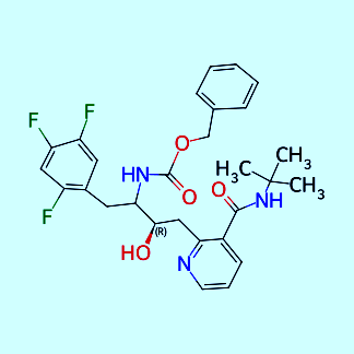 CC(C)(C)NC(=O)c1cccnc1C[C@@H](O)C(Cc1cc(F)c(F)cc1F)NC(=O)OCc1ccccc1